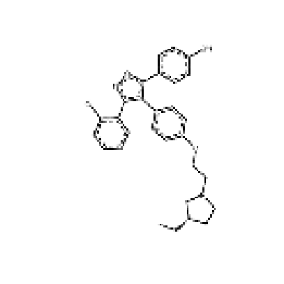 CC[C@@H]1CCN(CCOc2ccc(-c3c(-c4ccccc4Cl)noc3-c3ccc(O)cc3)cc2)C1